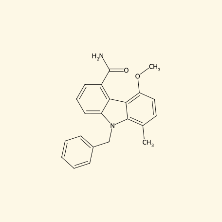 COc1ccc(C)c2c1c1c(C(N)=O)cccc1n2Cc1ccccc1